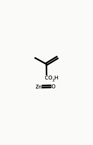 C=C(C)C(=O)O.[O]=[Zn]